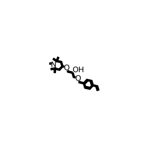 C=Cc1ccc(COCC(O)COC2CC(C)(C)N(C)C(C)(C)C2)cc1